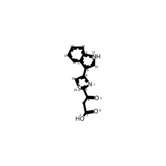 O=C(O)CC(=O)c1nc(-c2c[nH]c3ccccc23)cs1